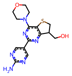 Nc1ncc(-c2nc3c(c(N4CCOCC4)n2)SCC3CO)cn1